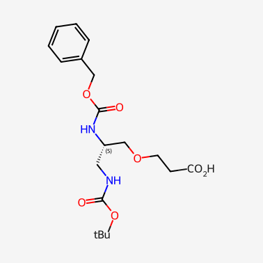 CC(C)(C)OC(=O)NC[C@@H](COCCC(=O)O)NC(=O)OCc1ccccc1